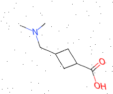 CN(C)CC1CC(C(=O)O)C1